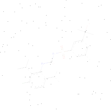 CC(C)c1ccc(F)c(C(C)C)c1NC(=O)NS(=O)(=O)c1cc(F)cc(C(C)(C)O)c1